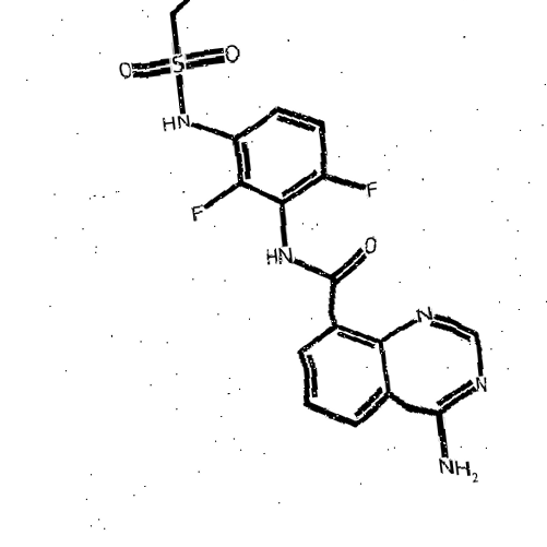 CCS(=O)(=O)Nc1ccc(F)c(NC(=O)c2cccc3c(N)ncnc23)c1F